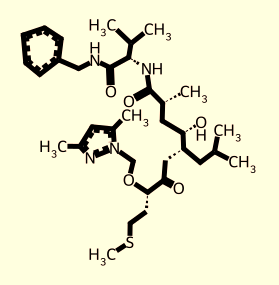 CSCC[C@H](OCn1nc(C)cc1C)C(=O)C[C@@H](CC(C)C)[C@@H](O)C[C@@H](C)C(=O)N[C@H](C(=O)NCc1ccccc1)C(C)C